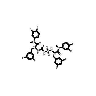 CN(C(=O)[C@H](Cc1cc(F)cc(F)c1)NC(=O)NS(=O)(=O)N[C@@H](Cc1cc(F)cc(F)c1)C(=O)N(C)c1ccc(F)c(F)c1)c1ccc(F)c(F)c1